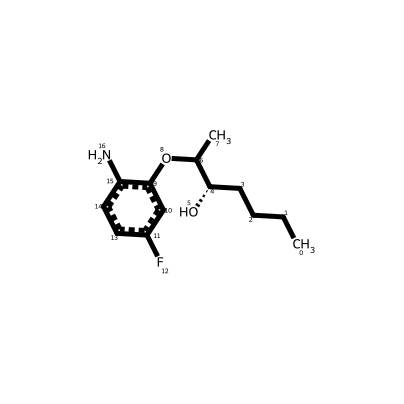 CCCC[C@H](O)C(C)Oc1cc(F)ccc1N